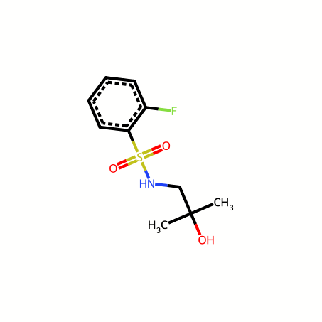 CC(C)(O)CNS(=O)(=O)c1ccccc1F